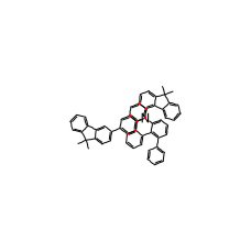 CC1(C)c2ccccc2-c2cc(-c3ccc(N(c4cccc(-c5ccccc5)c4-c4ccccc4-c4ccccc4)c4cccc5c4-c4ccccc4C5(C)C)cc3)ccc21